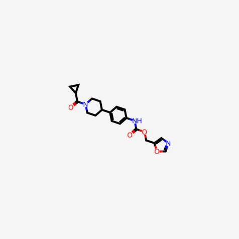 O=C(Nc1ccc(C2CCN(C(=O)C3CC3)CC2)cc1)OCc1cnco1